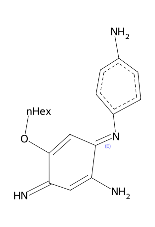 CCCCCCOC1=C/C(=N\c2ccc(N)cc2)C(N)=CC1=N